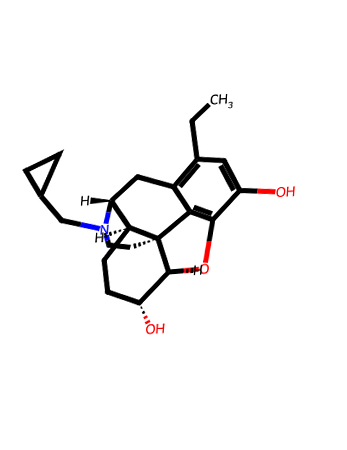 CCc1cc(O)c2c3c1C[C@@H]1[C@@H]4CC[C@@H](O)[C@H](O2)[C@]34CCN1CC1CC1